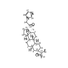 C[C@]12CC[C@H]3[C@@H](CC[C@@H]4C[C@](O)(C(F)F)CC[C@@H]43)[C@@H]1CC[C@@H]2C(=O)Cn1ccnc1